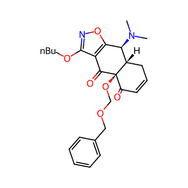 CCCCOc1noc2c1C(=O)[C@@]1(OCOCc3ccccc3)C(=O)C=CC[C@H]1[C@@H]2N(C)C